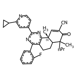 CCCC1(C)C(=O)C(C#N)=C[C@@]2(C)c3nc(-c4ccnc(C5CC5)c4)nc(-c4ccccc4F)c3CCC12